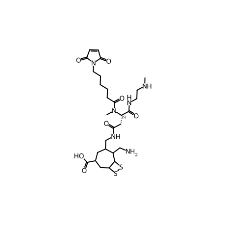 CNCCNC(=O)[C@H](CC(=O)NCC1CC(C(=O)O)CC2SSC2C1CN)N(C)C(=O)CCCCCN1C(=O)C=CC1=O